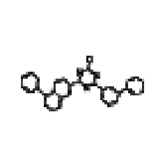 Clc1nc(-c2cccc(-c3ccccc3)c2)nc(-c2ccc3c(-c4ccccc4)cccc3c2)n1